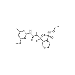 CCONS(=O)(=O)c1ccccc1S(=O)(=O)NC(=O)Nc1nc(C)cc(OC)n1